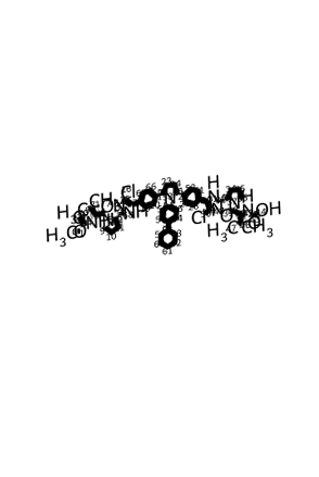 COC(=O)N[C@H](C(=O)N1CCC[C@H]1c1nc(Cl)c(-c2ccc([C@H]3CC[C@H](c4ccc(-c5[nH]c([C@@H]6CCCN6C(=O)[C@@H](NC(=O)O)C(C)C)nc5Cl)cc4)N3c3ccc(C4CCCCC4)cc3)cc2)[nH]1)C(C)C